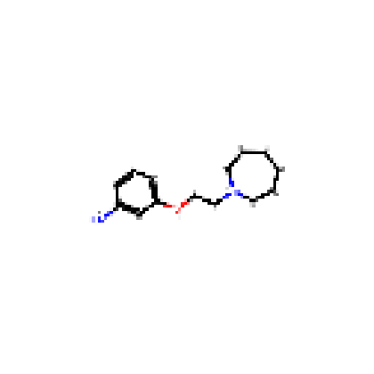 Nc1cccc(OCCN2CCCCCC2)c1